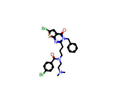 CN(C)CCN(CCCc1nc2sc(Br)cc2c(=O)n1Cc1ccccc1)C(=O)c1ccc(Br)cc1